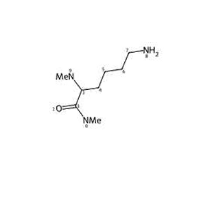 CNC(=O)C(CCCCN)NC